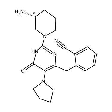 N#Cc1ccccc1Cc1nc(N2CCC[C@@H](N)C2)[nH]c(=O)c1N1CCCC1